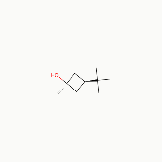 CC(C)(C)[C@H]1C[C@@](C)(O)C1